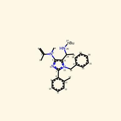 C=C(C)N(C)c1nc(-c2ccccc2C)n(Cc2ccccc2)c1C(C)NCCCC